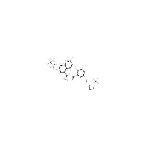 Cc1ccc2c(C3(NC(=O)c4cc(OC[C@@H]5CCN5C(C)(C)C)ccc4C)CC3)cc(OS(=O)(=O)C(F)(F)F)cc2n1